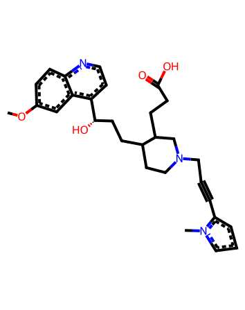 COc1ccc2nccc([C@@H](O)CCC3CCN(CC#Cc4cccn4C)CC3CCC(=O)O)c2c1